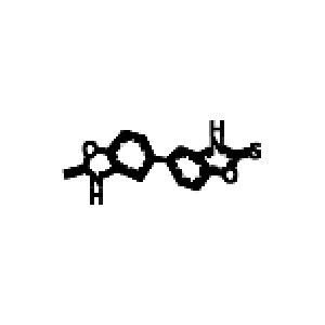 C=C1Nc2cc(-c3ccc4oc(=S)[nH]c4c3)ccc2O1